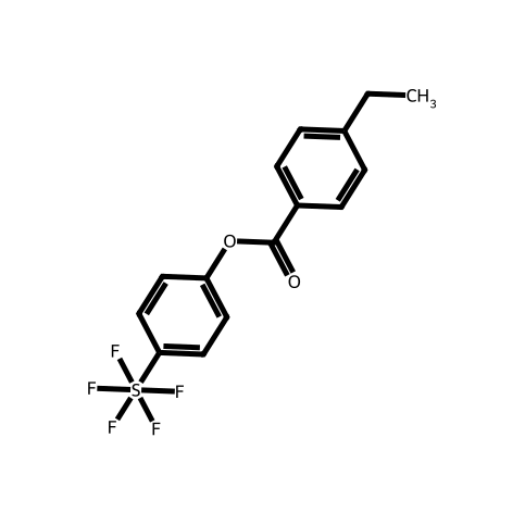 CCc1ccc(C(=O)Oc2ccc(S(F)(F)(F)(F)F)cc2)cc1